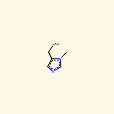 CNCc1cncn1C